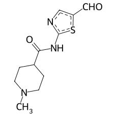 CN1CCC(C(=O)Nc2ncc(C=O)s2)CC1